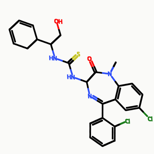 CN1C(=O)C(NC(=S)NC(CO)C2C=CC=CC2)N=C(c2ccccc2Cl)c2cc(Cl)ccc21